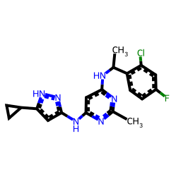 Cc1nc(Nc2cc(C3CC3)[nH]n2)cc(NC(C)c2ccc(F)cc2Cl)n1